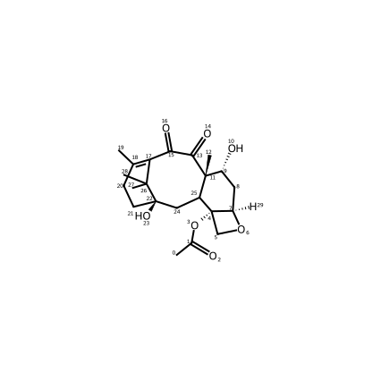 CC(=O)O[C@@]12CO[C@@H]1C[C@@H](O)[C@@]1(C)C(=O)C(=O)C3=C(C)CC[C@@](O)(CC12)C3(C)C